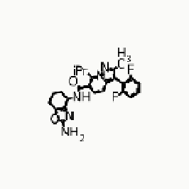 Cc1nn2c(C(C)C)c(C(=O)NC3CCCc4oc(N)nc43)ccc2c1-c1c(F)cccc1F